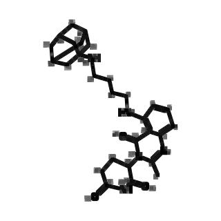 Cc1nc2cccc(NCCCCNC34CC5CC(CC(C5)C3)C4)c2c(=O)n1C1CCC(=O)NC1=O